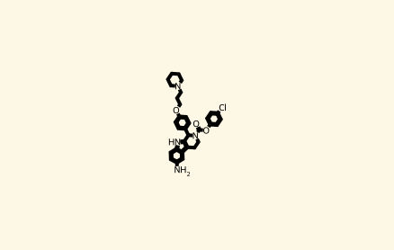 Nc1ccc2[nH]c3c(c2c1)CCN(C(=O)Oc1ccc(Cl)cc1)C3c1ccc(OCCCN2CCCCC2)cc1